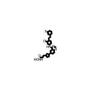 O=C(/C=C/C1=CC=C(c2ccc3ncnc(Nc4ccc(CCc5cccc(F)c5)c(Cl)c4)c3c2)C1)NO